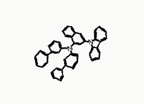 c1ccc(-c2cccc(N(c3cccc(-c4ccccc4)c3)c3cc(-n4c5ccccc5c5ccccc54)cc4ccccc34)c2)cc1